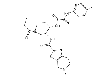 CC(C)C(=O)N1CC[C@H](NC(=O)C(=O)Nc2ccc(Cl)cn2)[C@H](NC(=O)c2nc3c(s2)CN(C)CC3)C1